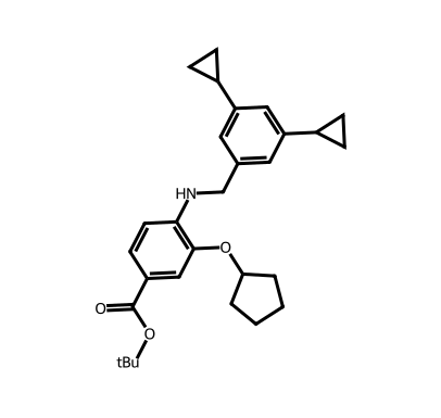 CC(C)(C)OC(=O)c1ccc(NCc2cc(C3CC3)cc(C3CC3)c2)c(OC2CCCC2)c1